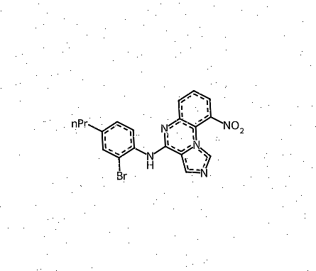 CCCc1ccc(Nc2nc3cccc([N+](=O)[O-])c3n3cncc23)c(Br)c1